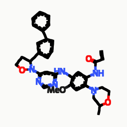 C=CC(=O)Nc1cc(Nc2cc(N3OCCC3c3cccc(-c4ccccc4)c3)ncn2)c(OC)cc1N1CCOC(C)C1